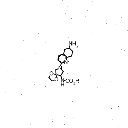 N[C@H]1CCc2nc(N3CC(NC(=O)O)C4(C3)OCCO4)ccc2C1